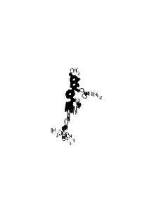 C=Cc1ccc2c(c1)CC(COC(N)=O)(c1cccc(-c3ncnc4c3ccn4COCC[Si](C)(C)C)c1)C2